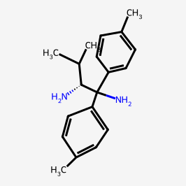 Cc1ccc(C(N)(c2ccc(C)cc2)[C@H](N)C(C)C)cc1